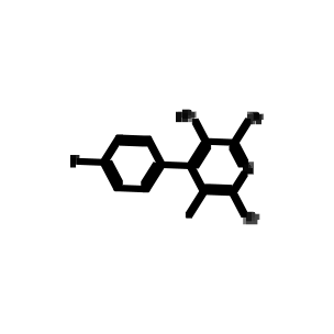 CCCc1c(C(C)C)nc(C(C)C)c(C)c1-c1ccc(F)cc1